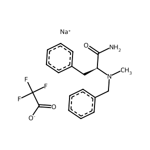 CN(Cc1ccccc1)[C@@H](Cc1ccccc1)C(N)=O.O=C([O-])C(F)(F)F.[Na+]